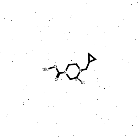 CC[C@H]1CN(C(=O)OC(C)(C)C)CCN1CC1CC1